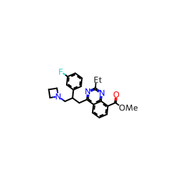 CCc1nc(CC(CN2CCC2)c2cccc(F)c2)c2cccc(C(=O)OC)c2n1